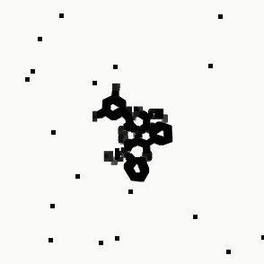 C[C@H](N)C(=O)N(C(=O)Cc1cc(F)cc(F)c1)[C@@H]1C(=O)N(C)c2ccccc2O[C@@H]1c1ccccc1